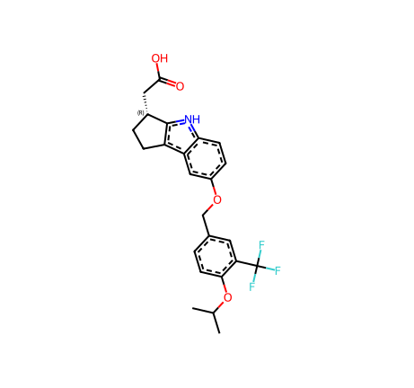 CC(C)Oc1ccc(COc2ccc3[nH]c4c(c3c2)CC[C@@H]4CC(=O)O)cc1C(F)(F)F